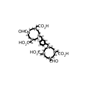 O=CN1CCN(CC(=O)O)CCN(Cc2cccc(CN3CCN(CC(=O)O)CCN(C=O)CCN(CC(=O)O)CC3)c2)CCN(CC(=O)O)CC1